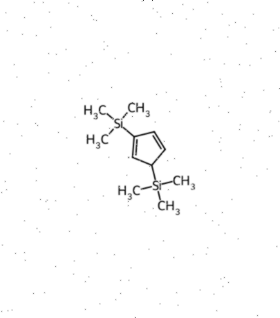 C[Si](C)(C)C1=[C]C([Si](C)(C)C)C=C1